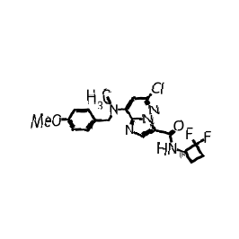 COc1ccc(CN(C)c2cc(Cl)nn3c(C(=O)N[C@@H]4CCC4(F)F)cnc23)cc1